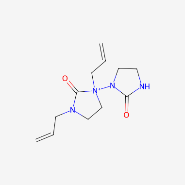 C=CCN1CC[N+](CC=C)(N2CCNC2=O)C1=O